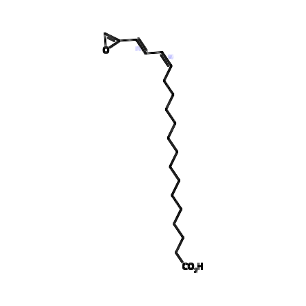 O=C(O)CCCCCCCCCCCCC/C=C\C=C\C1=CO1